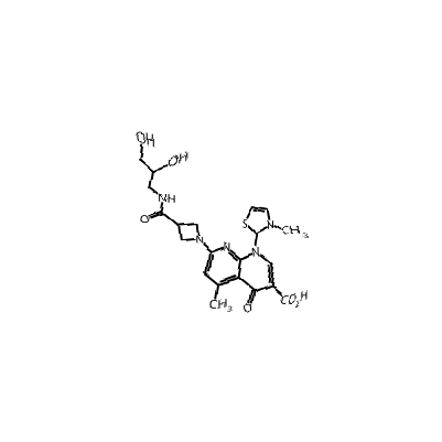 Cc1cc(N2CC(C(=O)NCC(O)CO)C2)nc2c1c(=O)c(C(=O)O)cn2C1SC=CN1C